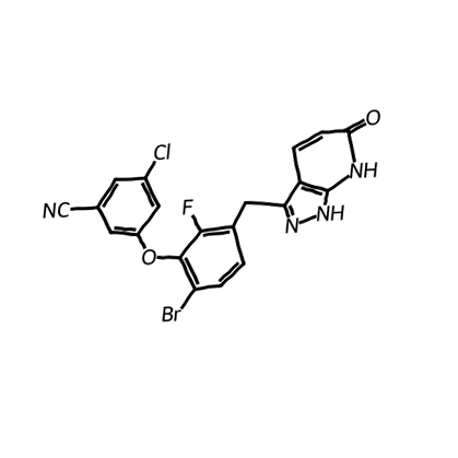 N#Cc1cc(Cl)cc(Oc2c(Br)ccc(Cc3n[nH]c4[nH]c(=O)ccc34)c2F)c1